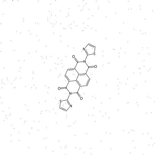 O=C1c2ccc3c4c(ccc(c24)C(=O)N1c1nccs1)C(=O)N(c1nccs1)C3=O